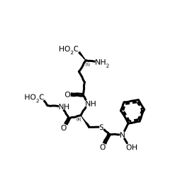 N[C@@H](CCC(=O)N[C@@H](CSC(=O)N(O)c1ccccc1)C(=O)NCC(=O)O)C(=O)O